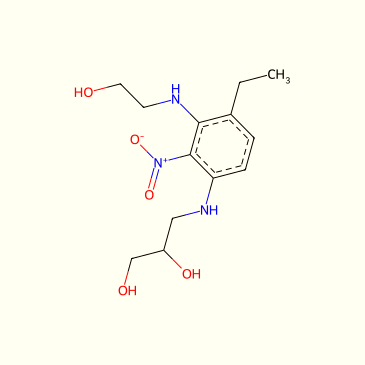 CCc1ccc(NCC(O)CO)c([N+](=O)[O-])c1NCCO